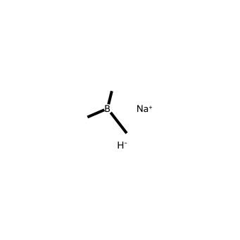 CB(C)C.[H-].[Na+]